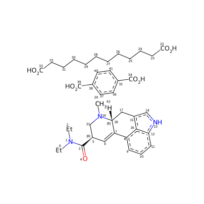 CCN(CC)C(=O)[C@@H]1C=C2c3cccc4[nH]cc(c34)C[C@H]2N(C)C1.O=C(O)CCCCCCCCCCC(=O)O.O=C(O)c1ccc(C(=O)O)cc1